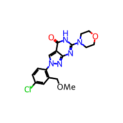 COCc1cc(Cl)ccc1-n1cc2c(=O)[nH]c(N3CCOCC3)nc2n1